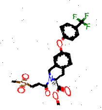 COC(=O)[C@@H]1Cc2ccc(Oc3ccc(C(F)(F)F)cc3)cc2CN1C(=O)CCS(C)(=O)=O